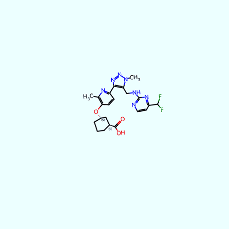 Cc1nc(-c2nnn(C)c2CNc2nccc(C(F)F)n2)ccc1O[C@H]1CCC[C@H](C(=O)O)C1